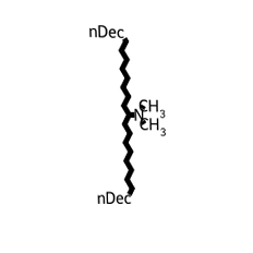 CCCCCCCCCCCCCCCCCCC(CCCCCCCCCCCCCCCCCC)N(C)C